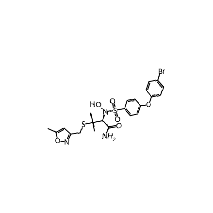 Cc1cc(CSC(C)(C)[C@H](C(N)=O)N(O)S(=O)(=O)c2ccc(Oc3ccc(Br)cc3)cc2)no1